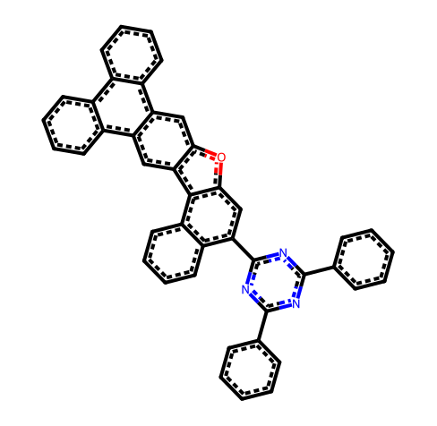 c1ccc(-c2nc(-c3ccccc3)nc(-c3cc4oc5cc6c7ccccc7c7ccccc7c6cc5c4c4ccccc34)n2)cc1